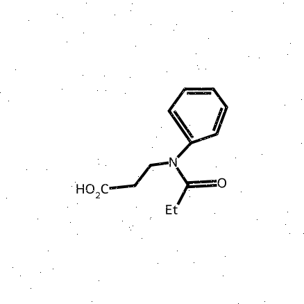 CCC(=O)N(CCC(=O)O)c1ccccc1